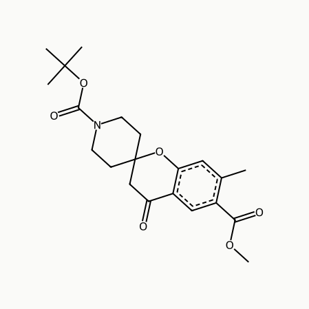 COC(=O)c1cc2c(cc1C)OC1(CCN(C(=O)OC(C)(C)C)CC1)CC2=O